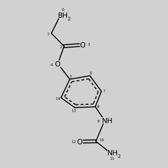 BCC(=O)Oc1ccc(NC(N)=O)cc1